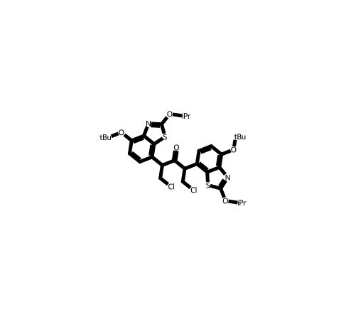 CC(C)Oc1nc2c(OC(C)(C)C)ccc(C(CCl)C(=O)C(CCl)c3ccc(OC(C)(C)C)c4nc(OC(C)C)sc34)c2s1